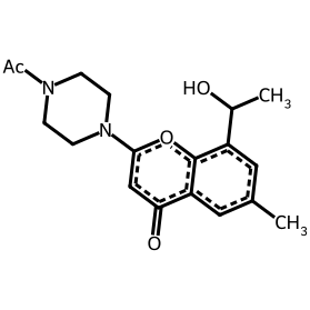 CC(=O)N1CCN(c2cc(=O)c3cc(C)cc(C(C)O)c3o2)CC1